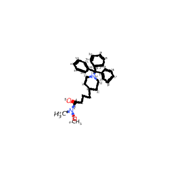 CON(C)C(=O)CCCC1CCN(C(c2ccccc2)(c2ccccc2)c2ccccc2)CC1